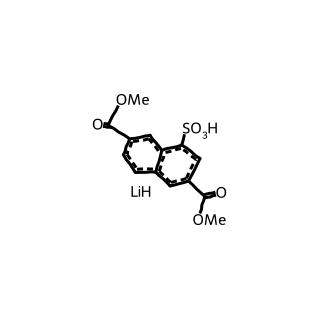 COC(=O)c1cc(S(=O)(=O)O)c2cc(C(=O)OC)ccc2c1.[LiH]